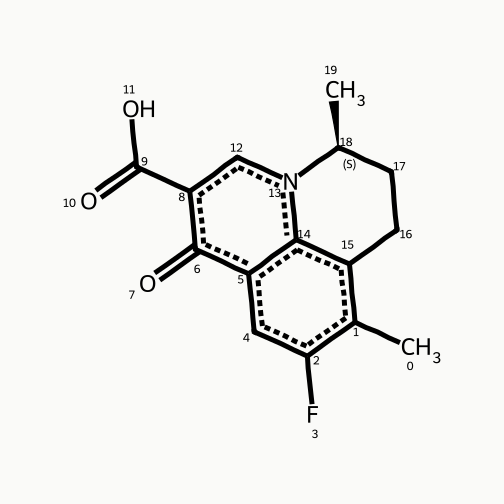 Cc1c(F)cc2c(=O)c(C(=O)O)cn3c2c1CC[C@@H]3C